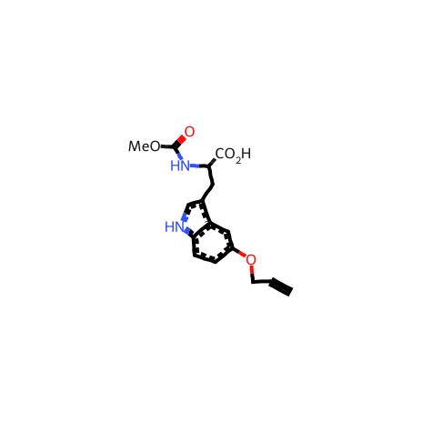 C#CCOc1ccc2[nH]cc(CC(NC(=O)OC)C(=O)O)c2c1